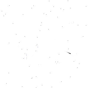 CO[C@H]1[C@H](OC(C)=O)[C@@H](COC(C)=O)O[C@H]1n1cc(C)c(=O)[nH]c1=O